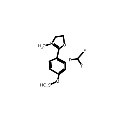 C[N+]1=C(c2ccc(OS(=O)(=O)O)cc2)OCC1.FC(F)F